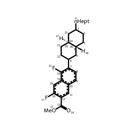 CCCCCCCC1CC[C@@H]2CC(c3ccc4cc(C(=O)OC)c(F)cc4c3F)CC[C@H]2C1